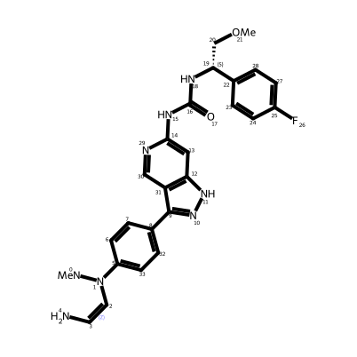 CNN(/C=C\N)c1ccc(-c2n[nH]c3cc(NC(=O)N[C@H](COC)c4ccc(F)cc4)ncc23)cc1